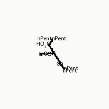 CCCCCC(CCCCC)CCCOC(=O)CCCCCCCN(CCCCCCC(CCCC(CCCCC)CCCCC)C(=O)O)CCOCCOCCN(C)C